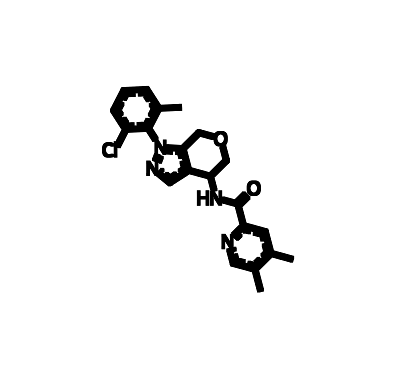 Cc1cnc(C(=O)NC2COCc3c2cnn3-c2c(C)cccc2Cl)cc1C